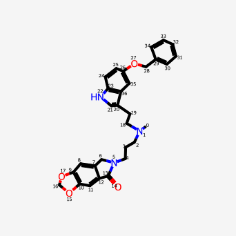 CN(CCCN1Cc2cc3c(cc2C1=O)OCO3)CCc1c[nH]c2ccc(OCc3ccccc3)cc12